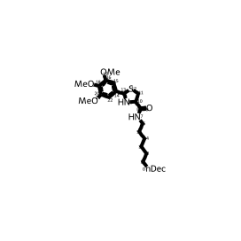 CCCCCCCCCCCCCCCCNC(=O)C1CSC(c2cc(OC)c(OC)c(OC)c2)N1